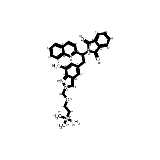 Cc1cc(CC(c2ccc3ccccc3n2)N2C(=O)c3ccccc3C2=O)cc2cn(COCC[Si](C)(C)C)nc12